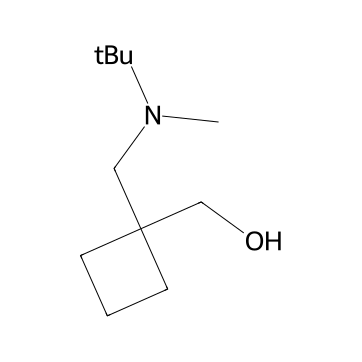 CN(CC1(CO)CCC1)C(C)(C)C